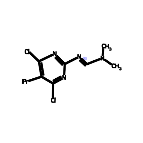 CC(C)c1c(Cl)nc(/N=C/N(C)C)nc1Cl